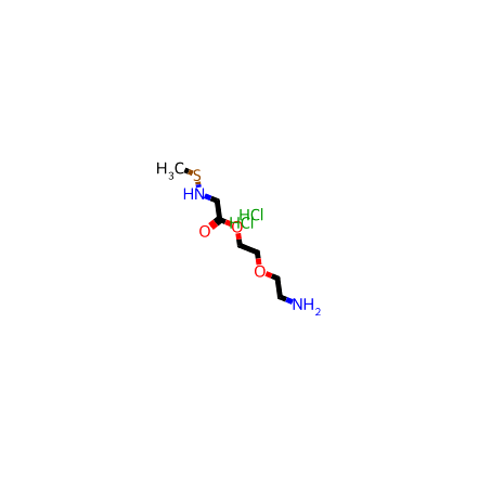 CSNCC(=O)OCCOCCN.Cl.Cl